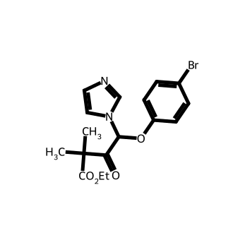 CCOC(=O)C(C)(C)C(=O)C(Oc1ccc(Br)cc1)n1ccnc1